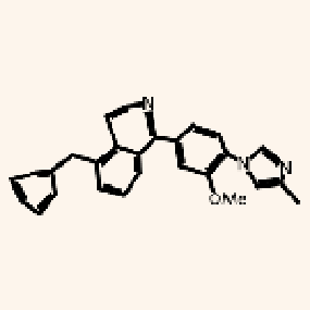 COc1cc(-c2nccc3c(Cc4ccccc4)cccc23)ccc1-n1cnc(C)c1